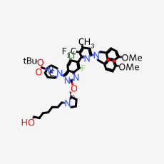 COc1ccc(CN(Cc2ccc(OC)cc2)c2cc(C)c(C(F)(F)F)c(-c3c(Cl)cc4c(N5CC6CCCC5CN6C(=O)OC(C)(C)C)nc(OC[C@@H]5CCCN5CCCCCCCO)nc4c3F)n2)cc1